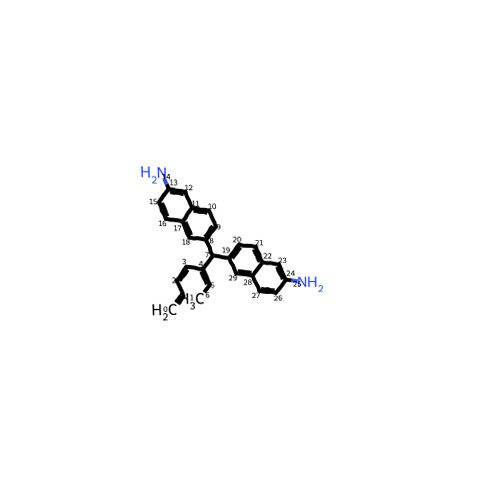 C=C/C=C\C(=C/C)C(c1ccc2cc(N)ccc2c1)c1ccc2cc(N)ccc2c1